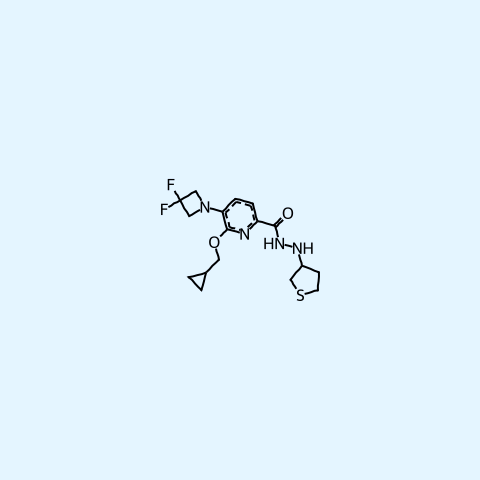 O=C(NNC1CCSC1)c1ccc(N2CC(F)(F)C2)c(OCC2CC2)n1